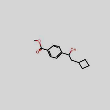 COC(=O)c1ccc(C(O)CC2CCC2)cc1